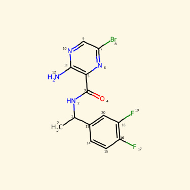 CC(NC(=O)c1nc(Br)cnc1N)c1ccc(F)c(F)c1